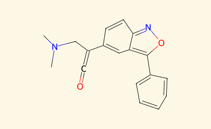 CN(C)CC(=C=O)c1ccc2noc(-c3ccccc3)c2c1